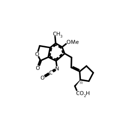 COc1c(C)c2c(c(N=C=O)c1CC=C1CCC[C@H]1CC(=O)O)C(=O)OC2